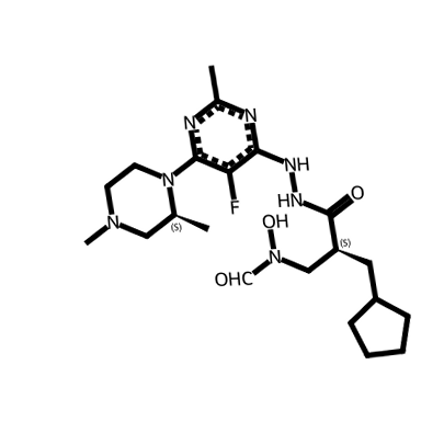 Cc1nc(NNC(=O)[C@@H](CC2CCCC2)CN(O)C=O)c(F)c(N2CCN(C)C[C@@H]2C)n1